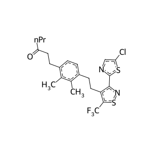 CCCC(=O)CCc1ccc(CCc2c(-c3ncc(Cl)s3)nsc2C(F)(F)F)c(C)c1C